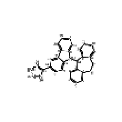 c1ccc2c(c1)CCc1ccccc1C2n1c2ccccc2c2cc(-c3nn[nH]n3)ccc21